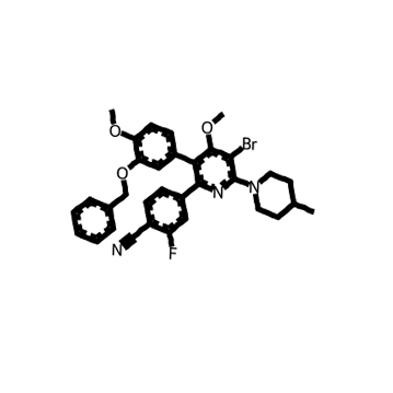 COc1ccc(-c2c(-c3ccc(C#N)c(F)c3)nc(N3CCC(C)CC3)c(Br)c2OC)cc1OCc1ccccc1